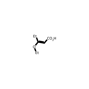 CCOC(=CC(=O)O)CC